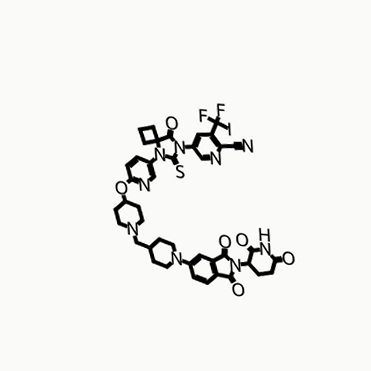 N#Cc1ncc(N2C(=O)C3(CCC3)N(c3ccc(OC4CCN(CC5CCN(c6ccc7c(c6)C(=O)N(C6CCC(=O)NC6=O)C7=O)CC5)CC4)nc3)C2=S)cc1C(F)(F)I